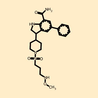 CONCCCS(=O)(=O)N1CCC(C2CNc3c(C(N)=O)cc(-c4ccccc4)cc32)CC1